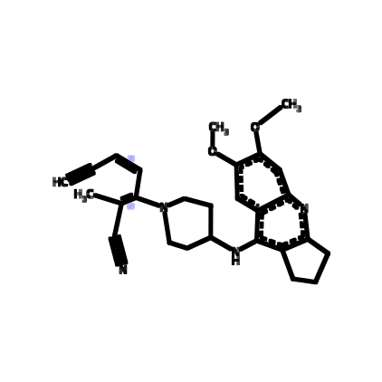 C#C/C=C\C(=C(/C)C#N)N1CCC(Nc2c3c(nc4cc(OC)c(OC)cc24)CCC3)CC1